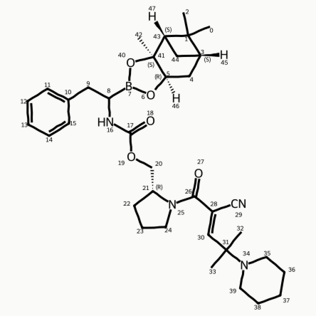 CC1(C)[C@@H]2C[C@H]3OB(C(Cc4ccccc4)NC(=O)OC[C@H]4CCCN4C(=O)C(C#N)=CC(C)(C)N4CCCCC4)O[C@@]3(C)[C@H]1C2